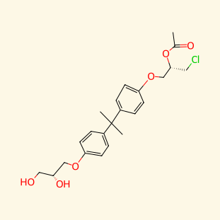 CC(=O)O[C@H](CCl)COc1ccc(C(C)(C)c2ccc(OC[C@H](O)CO)cc2)cc1